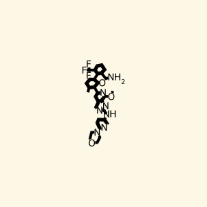 COc1nc(-c2cc(-c3c(C(N)=O)cccc3C(F)(F)F)ccc2C)cc2cnc(Nc3ccc(N4CCOCC4)nc3)nc12